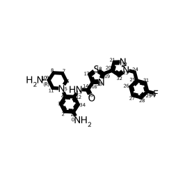 Nc1ccc(N2CCC[C@@H](N)C2)c(NC(=O)c2csc(-c3cnn(Cc4cccc(F)c4)c3)n2)c1